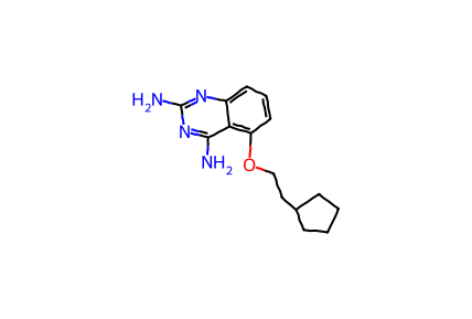 Nc1nc(N)c2c(OCCC3CCCC3)cccc2n1